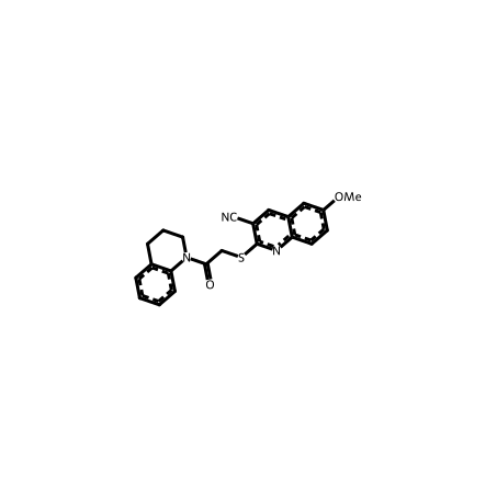 COc1ccc2nc(SCC(=O)N3CCCc4ccccc43)c(C#N)cc2c1